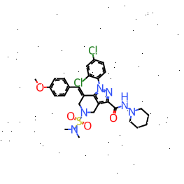 COc1ccc(C=C2CN(S(=O)(=O)N(C)C)Cc3c(C(=O)NN4CCCCC4)nn(-c4ccc(Cl)cc4Cl)c32)cc1